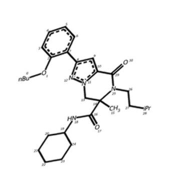 CCCCOc1ccccc1-c1cc2n(n1)CC(C)(C(=O)NC1CCCCC1)N(CCC(C)C)C2=O